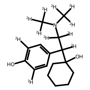 [2H]c1cc(C([2H])(C2(O)CCCCC2)C([2H])([2H])N(C([2H])([2H])[2H])C([2H])([2H])[2H])cc([2H])c1O